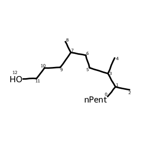 CCCCCC(C)C(C)CCC(C)CCCO